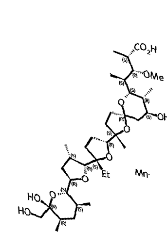 CC[C@@]1([C@@H]2O[C@@H]([C@H]3O[C@@](O)(CO)[C@H](C)C[C@@H]3C)C[C@@H]2C)CC[C@H]([C@]2(C)CC[C@]3(C[C@H](O)[C@@H](C)[C@@H]([C@@H](C)[C@@H](OC)[C@H](C)C(=O)O)O3)O2)O1.[Mn]